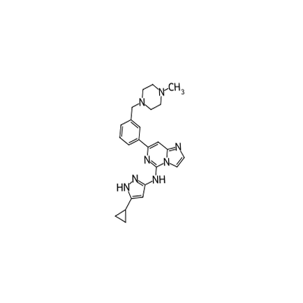 CN1CCN(Cc2cccc(-c3cc4nccn4c(Nc4cc(C5CC5)[nH]n4)n3)c2)CC1